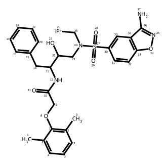 Cc1cccc(C)c1OCC(=O)NC(Cc1ccccc1)C(O)CN(CC(C)C)S(=O)(=O)c1ccc2onc(N)c2c1